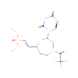 COP(=O)(/C=C/C1CCN(C(=O)C(F)(F)F)CC(n2ccc(=O)[nH]c2=O)O1)OC